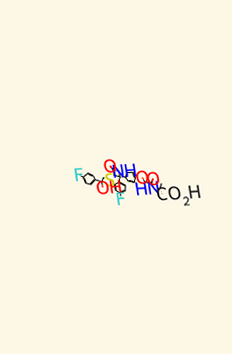 C[C@@H](NC(=O)COc1ccc([C@]2(c3ccc(F)cc3)NC(=O)[C@@H]2SCC(O)c2ccc(F)cc2)cc1)C(=O)O